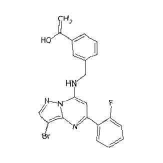 C=C(O)c1cccc(CNc2cc(-c3ccccc3F)nc3c(Br)cnn23)c1